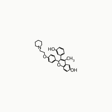 CC1=C(c2cccc(O)c2)C(c2ccc(OCCN3CCCCC3)cc2)Oc2ccc(O)cc21